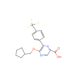 O=C(O)c1cnc(OCC2CCCC2)c(-c2ccc(C(F)(F)F)cc2)n1